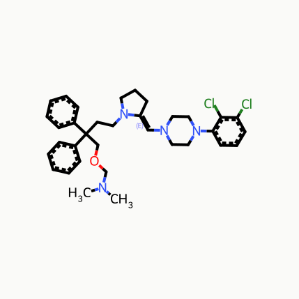 CN(C)COCC(CCN1CCC/C1=C\N1CCN(c2cccc(Cl)c2Cl)CC1)(c1ccccc1)c1ccccc1